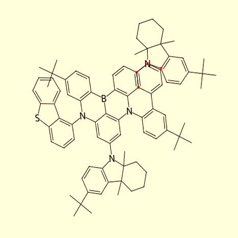 CC(C)(C)c1ccc(N2c3cc(N4c5ccc(C(C)(C)C)cc5C5(C)CCCCC45C)ccc3B3c4ccc(C(C)(C)C)cc4N(c4cccc5sc6ccccc6c45)c4cc(N5c6ccc(C(C)(C)C)cc6C6(C)CCCCC56C)cc2c43)c(-c2ccccc2)c1